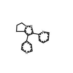 c1ccc(-c2nn3c(c2-c2ccncc2)CCC3)nc1